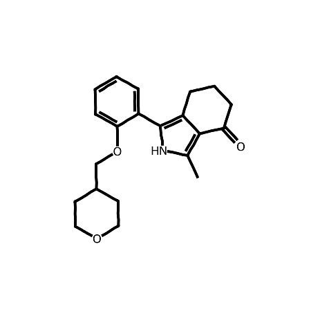 Cc1[nH]c(-c2ccccc2OCC2CCOCC2)c2c1C(=O)CCC2